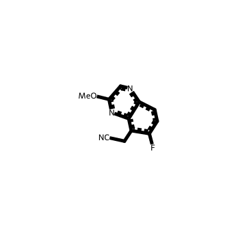 COc1cnc2ccc(F)c(CC#N)c2n1